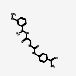 COc1cccc([C@H](C)NC(=O)CNC(=O)Nc2ccc(C(=N)N)cc2)c1